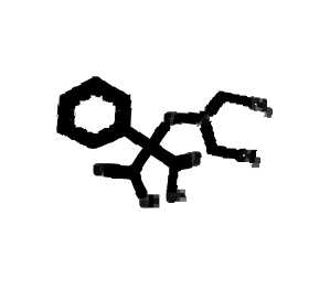 CCN(CC)OC(C(=O)O)(C(=O)O)c1ccccc1